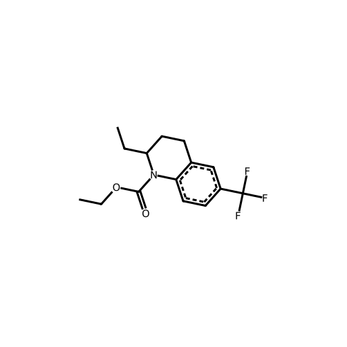 CCOC(=O)N1c2ccc(C(F)(F)F)cc2CCC1CC